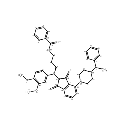 COc1ccc([C@@H](CCCNC(=O)c2ccccn2)N2C(=O)c3cccc(N4CCN([C@H](C)c5ccccc5)CC4)c3C2=O)cc1OC